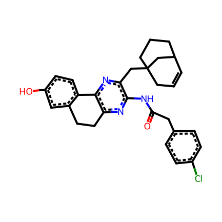 O=C(Cc1ccc(Cl)cc1)Nc1nc2c(nc1CC13CC=CC(CCC1)C3)-c1ccc(O)cc1CC2